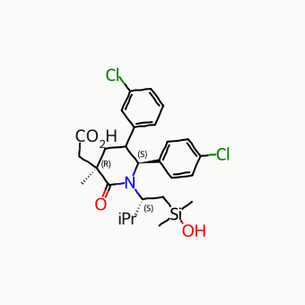 CC(C)[C@@H](C[Si](C)(C)O)N1C(=O)[C@@](C)(CC(=O)O)CC(c2cccc(Cl)c2)[C@H]1c1ccc(Cl)cc1